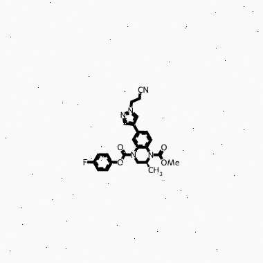 COC(=O)N1c2ccc(-c3cnn(CCC#N)c3)cc2N(C(=O)Oc2ccc(F)cc2)C[C@@H]1C